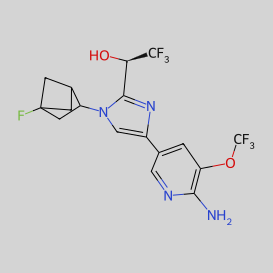 Nc1ncc(-c2cn(C3CC4(F)CC3C4)c([C@@H](O)C(F)(F)F)n2)cc1OC(F)(F)F